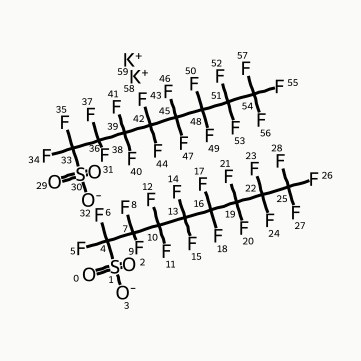 O=S(=O)([O-])C(F)(F)C(F)(F)C(F)(F)C(F)(F)C(F)(F)C(F)(F)C(F)(F)C(F)(F)F.O=S(=O)([O-])C(F)(F)C(F)(F)C(F)(F)C(F)(F)C(F)(F)C(F)(F)C(F)(F)C(F)(F)F.[K+].[K+]